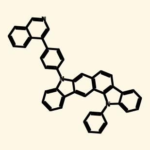 c1ccc(-n2c3ccccc3c3ccc4cc5c(cc4c32)c2ccccc2n5-c2ccc(-c3cncc4ccccc34)cc2)cc1